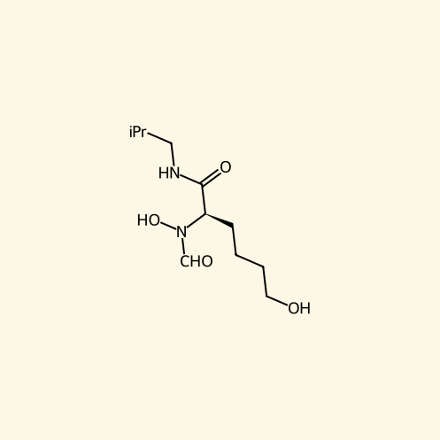 CC(C)CNC(=O)[C@@H](CCCCO)N(O)C=O